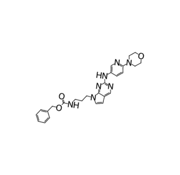 O=C(NCCCn1ccc2cnc(Nc3ccc(N4CCOCC4)nc3)nc21)OCc1ccccc1